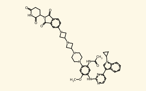 COc1cc(N2CCN(C3CN(C4CN(c5ccc6c(c5)C(=O)N(C5CCC(=O)NC5=O)C6=O)C4)C3)CC2)c(NC(C)=O)cc1Nc1nccc(-c2cn(C3CC3)c3ccccc23)n1